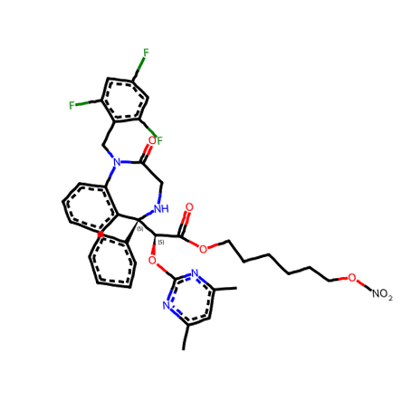 Cc1cc(C)nc(O[C@H](C(=O)OCCCCCCO[N+](=O)[O-])[C@@]2(c3ccccc3)NCC(=O)N(Cc3c(F)cc(F)cc3F)c3ccccc32)n1